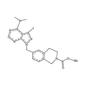 CN(C)c1ncnc2c1c(I)nn2Cc1ccc2c(c1)CCN(C(=O)OC(C)(C)C)C2